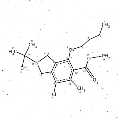 CCCCOc1c2c(c(Cl)c(C)c1C(=O)OP)CN(C(C)(C)C)C2